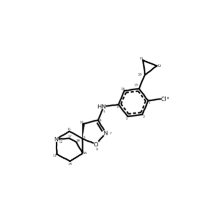 Clc1ccc(NC2=NO[C@@]3(C2)CN2CCC3CC2)cc1C1CC1